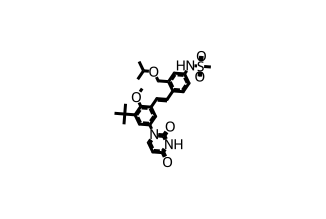 COc1c(/C=C/c2ccc(NS(C)(=O)=O)cc2COC(C)C)cc(-n2ccc(=O)[nH]c2=O)cc1C(C)(C)C